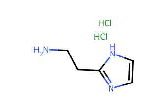 Cl.Cl.NCCc1ncc[nH]1